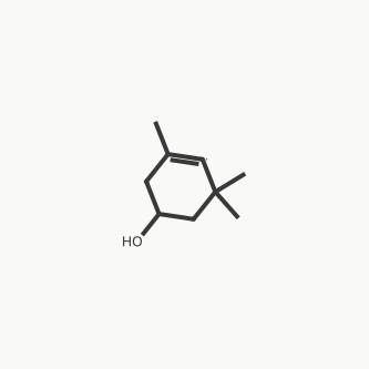 CC1=[C]C(C)(C)CC(O)C1